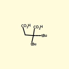 CC(C)(C)C(CC(=O)O)(C(=O)O)C(C)(C)C